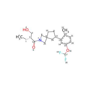 CC[C@H](CO)C(=O)N1CC2(CCC(c3cc(OC(F)F)ccc3C)C2)C1